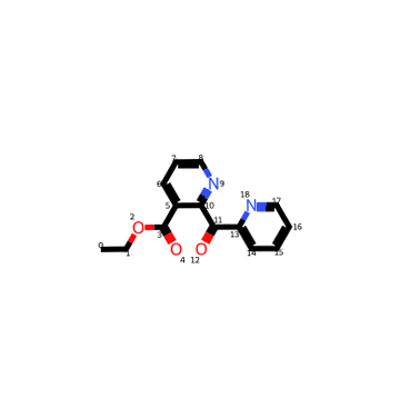 CCOC(=O)c1cccnc1C(=O)c1ccccn1